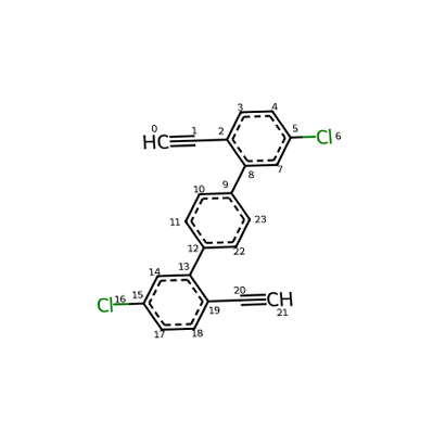 C#Cc1ccc(Cl)cc1-c1ccc(-c2cc(Cl)ccc2C#C)cc1